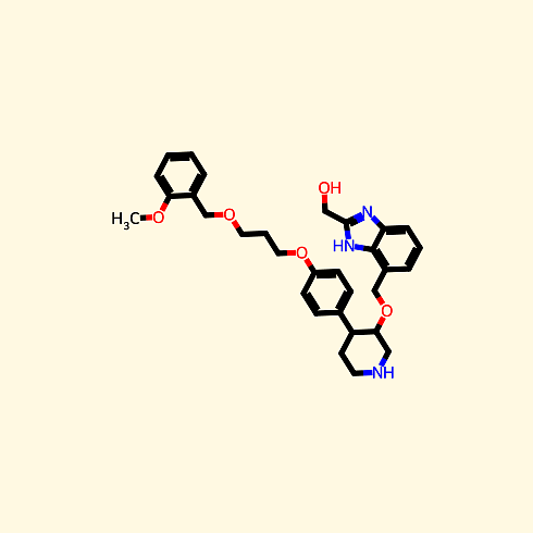 COc1ccccc1COCCCOc1ccc(C2CCNCC2OCc2cccc3nc(CO)[nH]c23)cc1